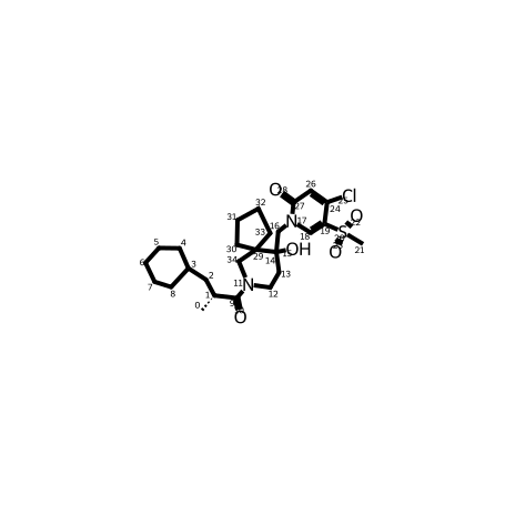 C[C@H](CC1CCCCC1)C(=O)N1CCC(O)(Cn2cc(S(C)(=O)=O)c(Cl)cc2=O)C2(CCCC2)C1